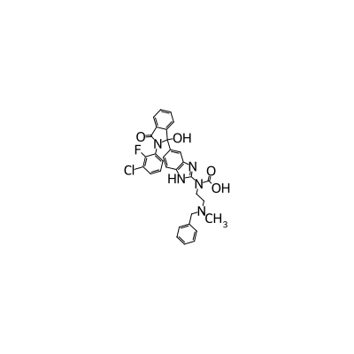 CN(CCN(C(=O)O)c1nc2cc(C3(O)c4ccccc4C(=O)N3c3cccc(Cl)c3F)ccc2[nH]1)Cc1ccccc1